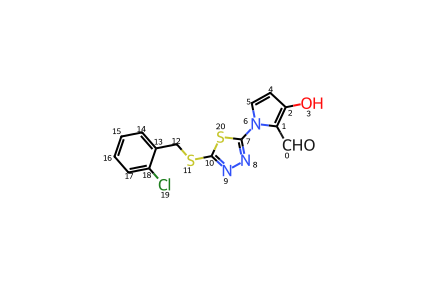 O=Cc1c(O)ccn1-c1nnc(SCc2ccccc2Cl)s1